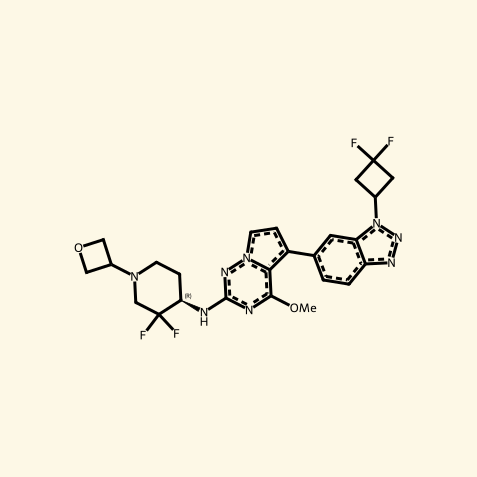 COc1nc(N[C@@H]2CCN(C3COC3)CC2(F)F)nn2ccc(-c3ccc4nnn(C5CC(F)(F)C5)c4c3)c12